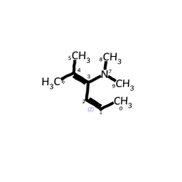 C/C=C\C(=C(C)C)N(C)C